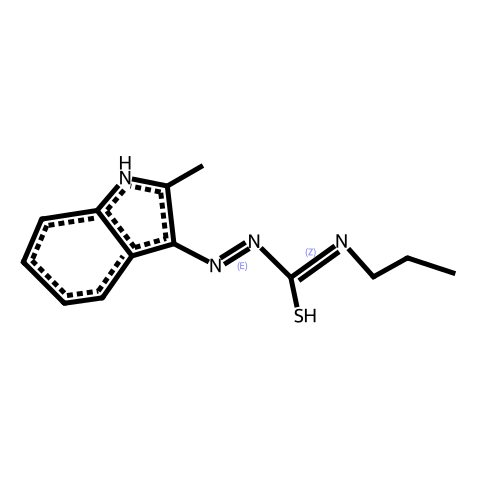 CCC/N=C(S)/N=N/c1c(C)[nH]c2ccccc12